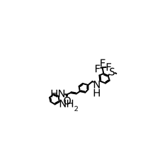 CSc1ccc(NCc2ccc(C=CC(=O)Nc3ccccc3N)cc2)cc1C(F)(F)F